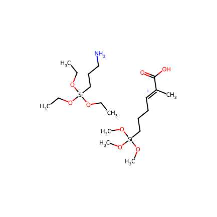 CCO[Si](CCCN)(OCC)OCC.CO[Si](CCC/C=C(\C)C(=O)O)(OC)OC